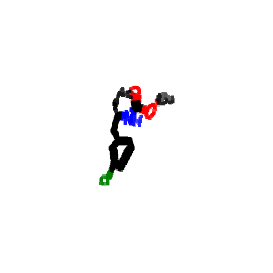 CC(=O)C[C@@H](Cc1cccc(Cl)c1)NC(=O)OC(C)(C)C